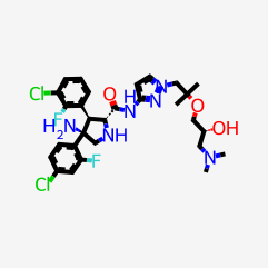 CN(C)C[C@@H](O)COC(C)(C)Cn1ccc(NC(=O)[C@@H]2NC[C@](N)(c3ccc(Cl)cc3F)[C@H]2c2cccc(Cl)c2F)n1